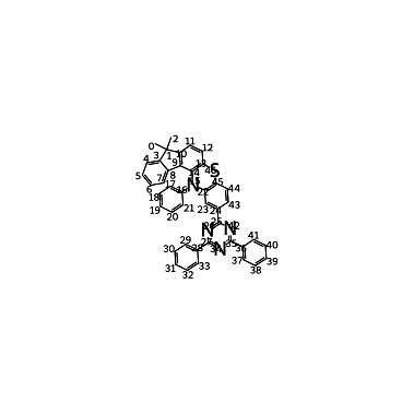 CC1(C)c2ccccc2-c2c1ccc1c2N(c2ccccc2)c2cc(-c3nc(-c4ccccc4)nc(-c4ccccc4)n3)ccc2S1